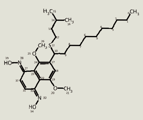 CCCCCCCCCCC(SCCC(C)C)c1cc(OC)c2c(c1OC)C(=NO)C=CC2=NO